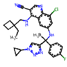 BC(Nc1cc(Cl)c2ncc(C#N)c(NCC3(CC)CCC3)c2c1)(c1ccc(F)cc1)c1cn(C2CC2)nn1